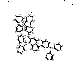 c1ccc(N(c2ccccc2)c2ccc3c(c2)-c2cccc4cc(N(c5ccc6c(c5)C(c5ccccc5)(c5ccccc5)c5ccccc5-6)c5cccc6c5oc5ccccc56)cc(c24)O3)cc1